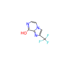 Oc1nccn2cc(C(F)(F)F)nc12